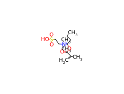 C=C(C)C(=O)OC(CCC)[N+](C)(C)CCS(=O)(=O)O